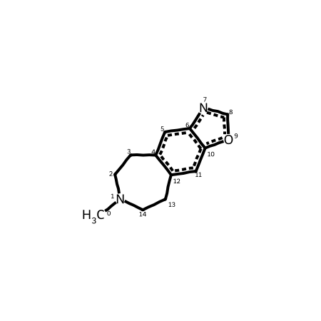 CN1CCc2cc3ncoc3cc2CC1